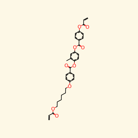 C=CC(=O)OCCCCCCOc1ccc(C(=O)Oc2ccc(OC(=O)c3ccc(OC(=O)C=C)cc3)cc2C)cc1